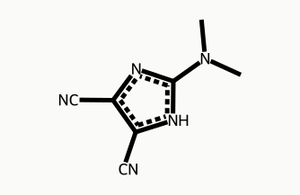 CN(C)c1nc(C#N)c(C#N)[nH]1